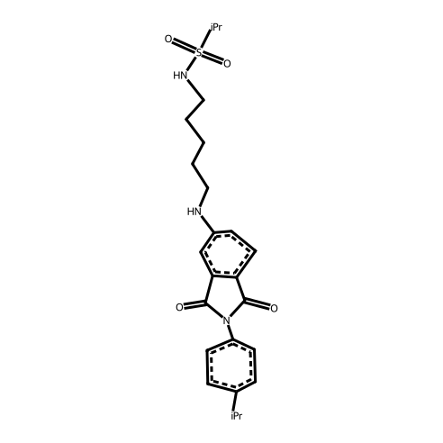 CC(C)c1ccc(N2C(=O)c3ccc(NCCCCCNS(=O)(=O)C(C)C)cc3C2=O)cc1